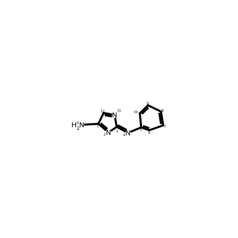 NC1=NC(=Nc2ccccc2)N=C1